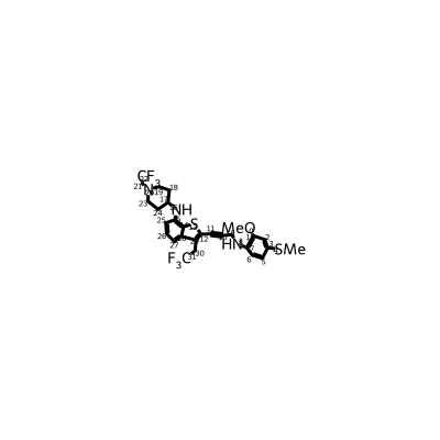 COc1cc(SC)ccc1NCC#Cc1sc2c(NC3CCN(CC(F)(F)F)CC3)cccc2c1CC(F)(F)F